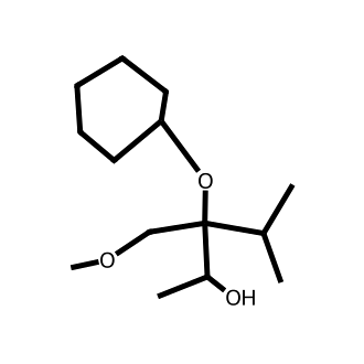 COCC(OC1CCCCC1)(C(C)C)C(C)O